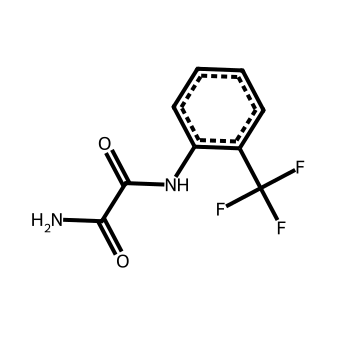 NC(=O)C(=O)Nc1ccccc1C(F)(F)F